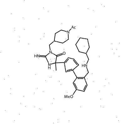 COc1ccc(CNCC2CCCCC2)c(-c2cccc(C3(C)NC(=N)N(CC4CCN(C(C)=O)CC4)C3=O)c2)c1